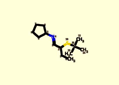 CCC(C=NC1CCCC1)S[Si](C)(C)C